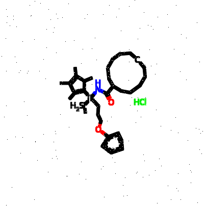 C[SiH2][Ti]([CH2]CCOc1ccccc1)([NH]C(=O)C1CCCCCCCCCCC1)[C]1=C(C)C(C)=C(C)C1C.Cl